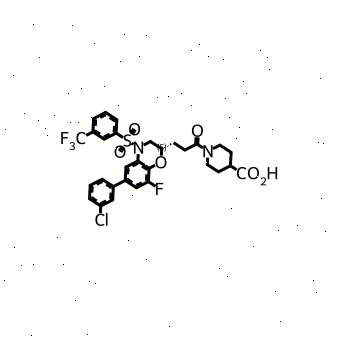 O=C(O)C1CCN(C(=O)CC[C@H]2CN(S(=O)(=O)c3cccc(C(F)(F)F)c3)c3cc(-c4cccc(Cl)c4)cc(F)c3O2)CC1